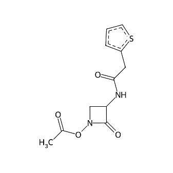 CC(=O)ON1CC(NC(=O)Cc2cccs2)C1=O